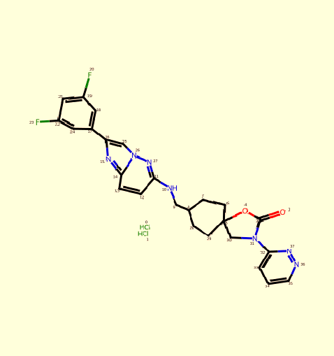 Cl.Cl.O=C1OC2(CCC(CNc3ccc4nc(-c5cc(F)cc(F)c5)cn4n3)CC2)CN1c1cccnn1